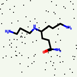 NCCCNC(CCCN)CCC(N)=O